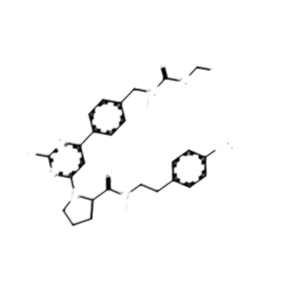 N#Cc1ccc(CCNC(=O)C2CCCN2c2cc(-c3ccc(CNC(=O)NCS(=O)(=O)O)cc3)nc(C(F)(F)F)n2)cc1